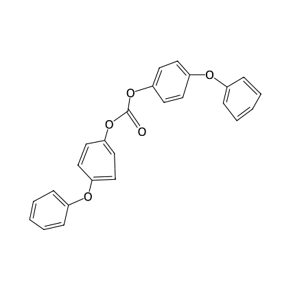 O=C(Oc1ccc(Oc2ccccc2)cc1)Oc1ccc(Oc2ccccc2)cc1